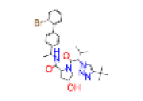 CC(C)[C@@H](C(=O)N1C[C@H](O)C[C@H]1C(=O)N[C@@H](C)c1ccc(-c2ccccc2Br)cc1)n1cc(C(C)(C)C)nn1